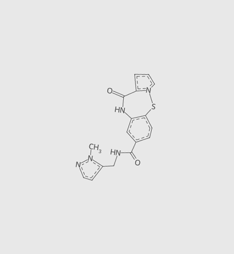 Cn1nccc1CNC(=O)c1ccc2c(c1)NC(=O)c1cccn1S2